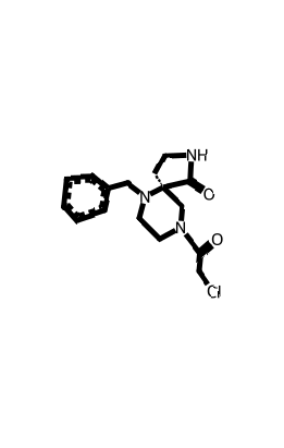 O=C(CCl)N1CCN(Cc2ccccc2)[C@]2(CCNC2=O)C1